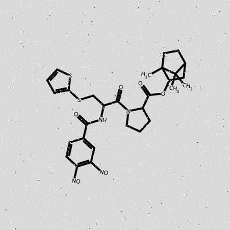 CC1(C)C2CCC1(C)C(OC(=O)C1CCCN1C(=O)C(CSc1cccs1)NC(=O)c1ccc(N=O)c(N=O)c1)C2